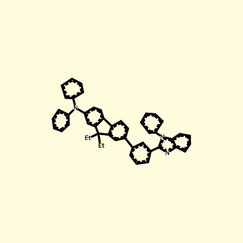 CCC1(CC)c2cc(-c3cccc(-c4nc5ccccc5n4-c4ccccc4)c3)ccc2-c2ccc(N(c3ccccc3)c3ccccc3)cc21